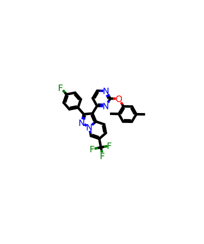 Cc1ccc(C)c(Oc2nccc(-c3c(-c4ccc(F)cc4)nn4cc(C(F)(F)F)ccc34)n2)c1